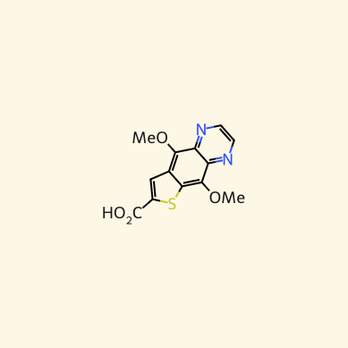 COc1c2cc(C(=O)O)sc2c(OC)c2nccnc12